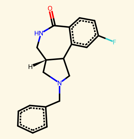 O=C1NC[C@H]2CN(Cc3ccccc3)CC2c2cc(F)ccc21